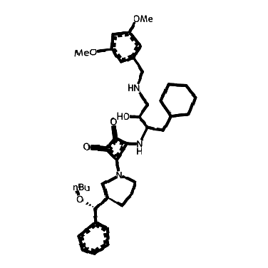 CCCCO[C@@H](c1ccccc1)[C@@H]1CCCN(c2c(NC(CC3CCCCC3)C(O)CNCc3cc(OC)cc(OC)c3)c(=O)c2=O)C1